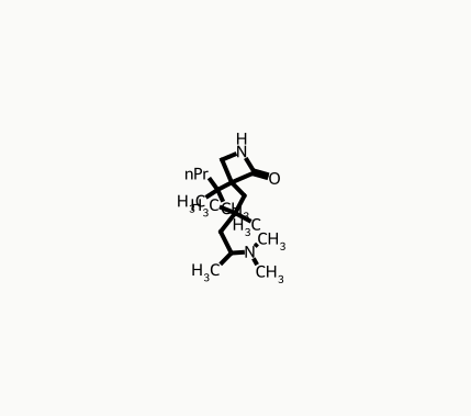 CCCC(C)(C)C1(CC(C)(C)CC(C)N(C)C)CNC1=O